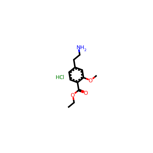 CCOC(=O)c1ccc(CCN)cc1OC.Cl